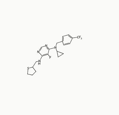 Fc1c(NCC2CCCS2)ncnc1N(Cc1ccc(C(F)(F)F)cc1)C1CC1